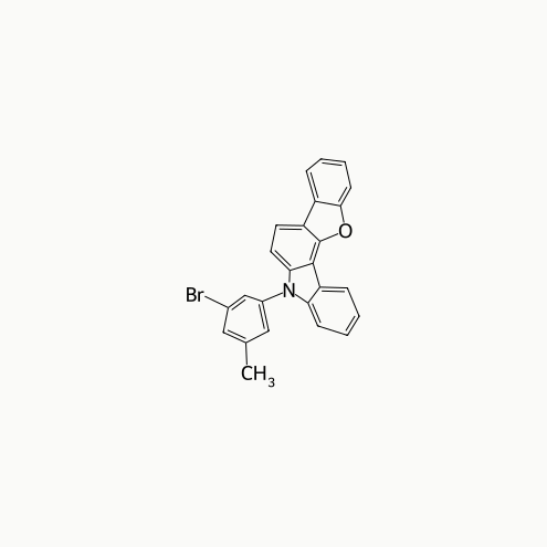 Cc1cc(Br)cc(-n2c3ccccc3c3c4oc5ccccc5c4ccc32)c1